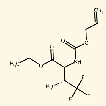 C=CCOC(=O)NC(C(=O)OCC)[C@@H](C)C(F)(F)F